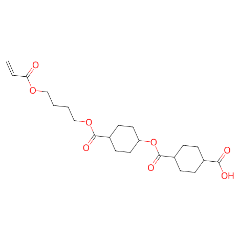 C=CC(=O)OCCCCOC(=O)C1CCC(OC(=O)C2CCC(C(=O)O)CC2)CC1